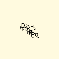 CCOC(=O)Cn1cc(C(N)OC(=O)C(F)(F)F)nn1